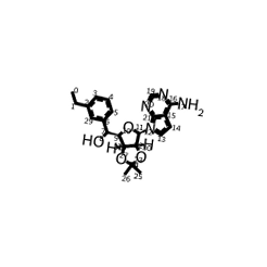 CCc1cccc(C(O)[C@H]2O[C@@H](n3ccc4c(N)ncnc43)[C@@H]3OC(C)(C)O[C@@H]32)c1